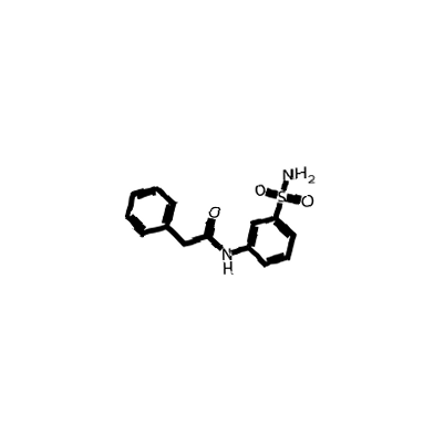 NS(=O)(=O)c1cccc(NC(=O)Cc2ccccc2)c1